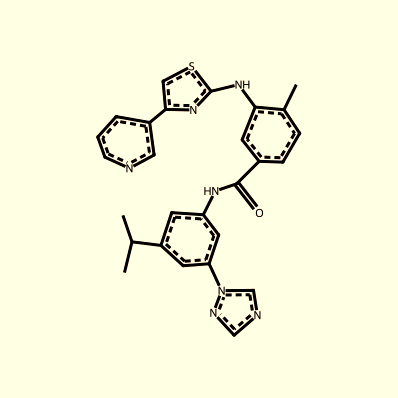 Cc1ccc(C(=O)Nc2cc(C(C)C)cc(-n3cncn3)c2)cc1Nc1nc(-c2cccnc2)cs1